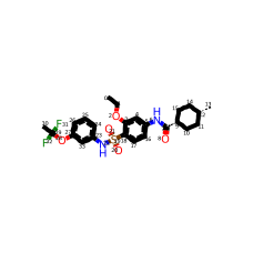 CCOc1cc(NC(=O)[C@H]2CC[C@@H](C)CC2)ccc1S(=O)(=O)Nc1cccc(OC(C)(F)F)c1